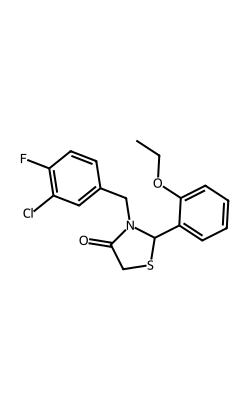 CCOc1ccccc1C1SCC(=O)N1Cc1ccc(F)c(Cl)c1